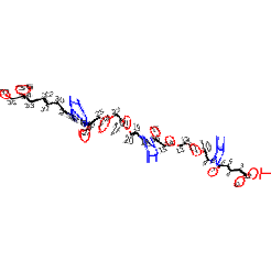 O=C(O)CCCC(=O)NCCOCCOCC(=O)NCCOCCOCC(=O)NCCCCCC(=O)CO